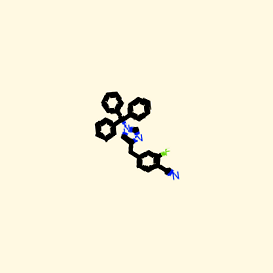 N#Cc1ccc(Cc2cn(C(c3ccccc3)(c3ccccc3)c3ccccc3)cn2)cc1F